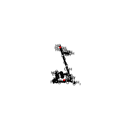 CC[C@@]1(O)C(=O)OCc2c1cc1n(c2=O)Cc2c-1nc1cc(F)c(C)c3c1c2[C@@H](NC(=O)OCc1ccc(NC(=O)[C@H](CCCNC(N)=O)NC(=O)[C@@H](NC(=O)[C@H](CCCCNC(=O)CCOCCOCCOCCOCCN(C[C@H](O)[C@@H](O)[C@H](O)[C@H](O)CO)C[C@H](O)[C@@H](O)[C@H](O)[C@H](O)CO)NC(=O)OCC2c4ccccc4-c4ccccc42)C(C)C)cc1)CC3